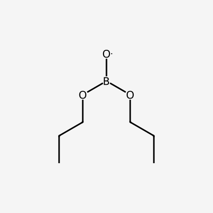 CCCOB([O])OCCC